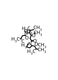 CCC(C)C(C(CC(=O)N1CCCC1C(OC)C(C)C)OC)N(C)C(=O)CC(C)C